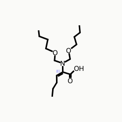 CCC/C=C(\C(=O)O)N(COCCCC)COCCCC